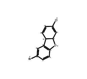 ClC1=CC2Oc3ccc(Br)cc3C2C=C1